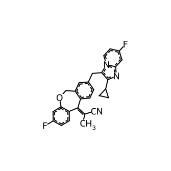 C/C(C#N)=C1/c2ccc(Cc3c(C4CC4)nc4cc(F)ccn34)cc2COc2cc(F)ccc21